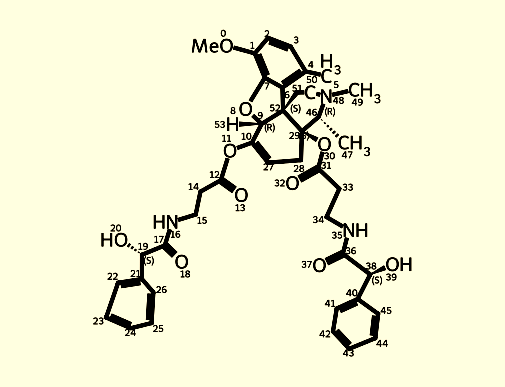 COc1ccc(C)c2c1O[C@H]1C(OC(=O)CCNC(=O)[C@@H](O)c3ccccc3)=CC[C@@]3(OC(=O)CCNC(=O)[C@@H](O)c4ccccc4)[C@@H](C)N(C)CC[C@]213